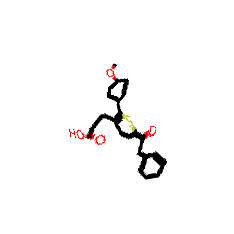 COc1ccc(-c2sc(C(=O)Cc3ccccc3)cc2CC(=O)O)cc1